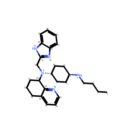 CCCCN[C@H]1CC[C@H](N(Cc2nc3ccccc3[nH]2)C2CCCc3cccnc32)CC1